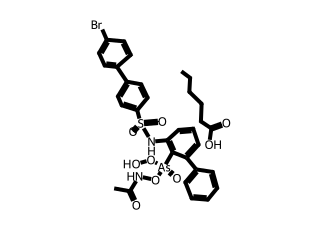 CC(=O)NO[As](=O)(OO)c1c(NS(=O)(=O)c2ccc(-c3ccc(Br)cc3)cc2)cccc1-c1ccccc1.CCCCCC(=O)O